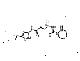 CC[C@@H](C=CC(=O)Nc1nnc(C(F)(F)F)s1)NC(=O)[C@@H]1CCCCN1